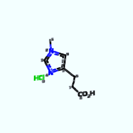 Cl.Cn1cnc(CCC(=O)O)c1